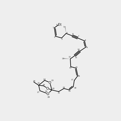 CC/C=C\C[C@H](C)C#C/C=C\C#C[C@@H](C)C/C=C\C/C=C\CCC12OCC(C)(CO1)CO2